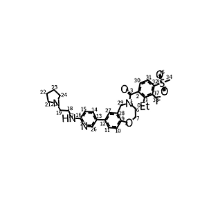 CCc1c(C(=O)N2CCOc3ccc(-c4ccc(NCCN5CCCC5)nc4)cc3C2)ccc(S(C)(=O)=O)c1F